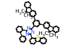 CC1(C)c2ccccc2-c2ccc(-c3cc(-c4ccc5c(c4)C(C)(C)c4ccccc4-5)cc(-c4nc(-c5ccccc5-c5ccccc5)nc(-c5cccc6c5sc5ccccc56)n4)c3)cc21